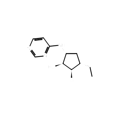 CC[C@H]1C[C@@H](Nc2ccncn2)[C@H](O)[C@@H]1O